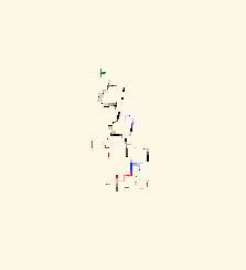 COC(=O)c1cc(-c2ccc(F)cc2)ncc1C1CCN(C(=O)OC(C)(C)C)C1